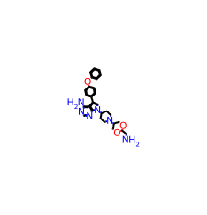 NCC1OCC(N2CCC(n3cc(-c4ccc(Oc5ccccc5)cc4)c4c(N)ncnc43)CC2)CO1